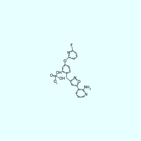 COP(=O)(O)O.Nc1ncccc1-c1cc(Cc2ccc(Oc3cccc(F)n3)cc2)no1